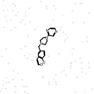 C1=Cc2cc(CN3CCN(c4cnccn4)CC3)ccc2OO1